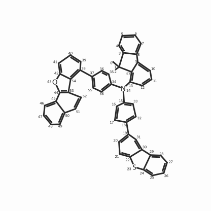 CC1(C)c2ccccc2-c2cccc(N(c3ccc(-c4ccc5sc6ccccc6c5c4)cc3)c3ccc(-c4cccc5oc6c7ccccc7ccc6c45)cc3)c21